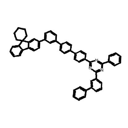 c1ccc(-c2cccc(-c3nc(-c4ccccc4)nc(-c4ccc(-c5ccc(-c6cccc(-c7ccc8c(c7)C7(CCCCC7)c7ccccc7-8)c6)cc5)cc4)n3)c2)cc1